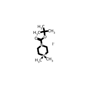 CC(C)(C)OC(=O)N1CC[N+](C)(C)CC1.[I-]